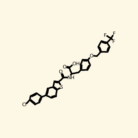 O=C(NC(Cc1ccc(OCc2ccc(C(F)(F)F)cc2)cc1)C(=O)O)c1cc2cc(-c3ccc(Cl)cc3)ccc2s1